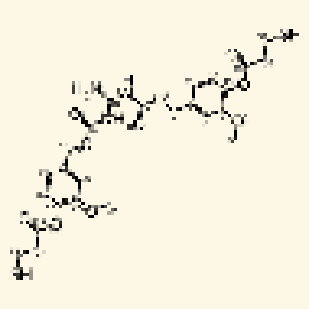 COc1cc(COC(=O)NC(N)NC(=O)OCc2ccc(OC(=O)CCS)c(OC)c2)ccc1OC(=O)CCS